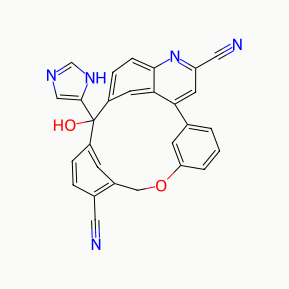 N#Cc1cc2c3cc(ccc3n1)C(O)(c1cnc[nH]1)c1ccc(C#N)c(c1)COc1cccc-2c1